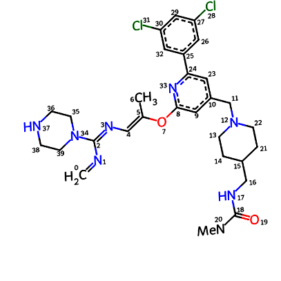 C=N/C(=N\C=C(/C)Oc1cc(CN2CCC(CNC(=O)NC)CC2)cc(-c2cc(Cl)cc(Cl)c2)n1)N1CCNCC1